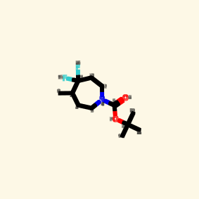 CC1CCN(C(=O)OC(C)(C)C)CCC1(F)F